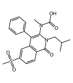 CC(C)Cn1c(N(C)C(=O)O)c(-c2ccccc2)c2cc(S(C)(=O)=O)ccc2c1=O